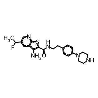 CC(F)c1cnc2sc(C(=O)NCCc3ccc(N4CCNCC4)cc3)c(N)c2c1